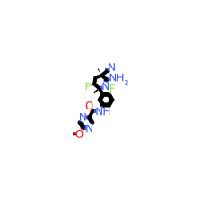 COc1cnc(C(=O)Nc2ccc(F)c([C@@]3(C)N=C(N)[C@](C)(C#N)C[C@@H]3F)c2)cn1